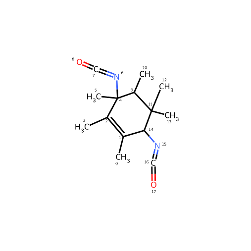 CC1=C(C)C(C)(N=C=O)C(C)C(C)(C)C1N=C=O